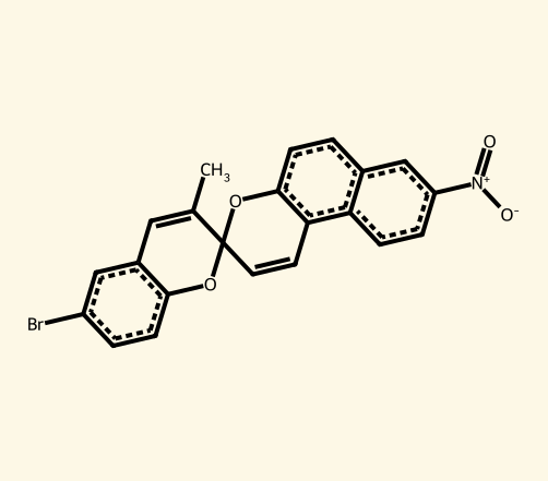 CC1=Cc2cc(Br)ccc2OC12C=Cc1c(ccc3cc([N+](=O)[O-])ccc13)O2